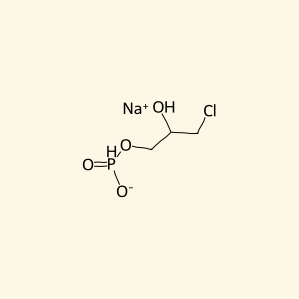 O=[PH]([O-])OCC(O)CCl.[Na+]